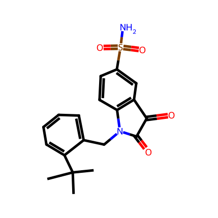 CC(C)(C)c1ccccc1CN1C(=O)C(=O)c2cc(S(N)(=O)=O)ccc21